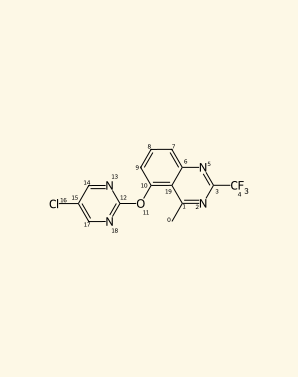 Cc1nc(C(F)(F)F)nc2cccc(Oc3ncc(Cl)cn3)c12